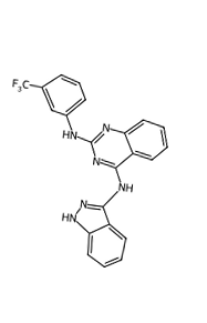 FC(F)(F)c1cccc(Nc2nc(Nc3n[nH]c4ccccc34)c3ccccc3n2)c1